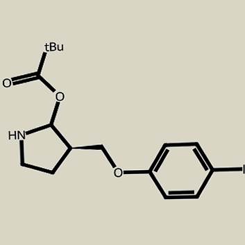 CC(C)(C)C(=O)OC1NCC[C@@H]1COc1ccc(I)cc1